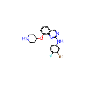 Fc1ccc(Nc2ncc3cccc(OC4CCNCC4)c3n2)cc1Br